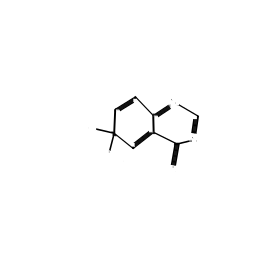 CC1(C)C=CC2=NC=NC(=O)C2=C1